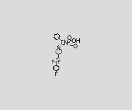 O=C(O)[C@H](CC1CCC1)N1C[C@H](CN2CCC(CCC(F)(F)c3ccc(F)cc3)CC2)[C@@H](c2ccccc2)C1